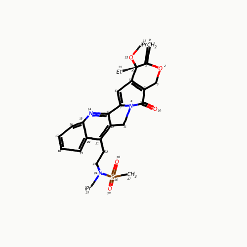 C=C1OCc2c(cc3n(c2=O)Cc2c-3nc3ccccc3c2CCN(C(C)C)S(C)(=O)=O)[C@]1(CC)OC(C)C